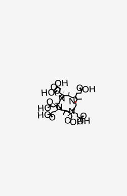 CC1=C(CCC(=O)O)C2=N[C@@]1(C)CC1=N/C(=C(/C)C3=N[C@@](C)(C4N=C([C@H]2C)[C@](C)(CCC(=O)O)[C@H]4CC(=O)O)[C@@](C)(CC(=O)O)[C@@H]3CCC(=O)O)[C@@](C)(CC(=O)O)[C@@H]1CCC(=O)O